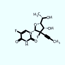 CC#CC1(F)[C@@H](O)[C@@H]([C@H](C)O)O[C@H]1n1cc(F)c(=O)[nH]c1=O